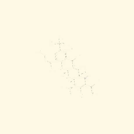 CO/N=C(/C)c1cc(C(C)(C)C)c(O)c2c1C[C@H]1C[C@H]3[C@H](N(C)C)C(O)=C(C(N)=O)C(=O)[C@@]3(O)C(O)=C1C2=O